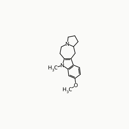 COc1ccc2c3c(n(C)c2c1)CCN1CCCC1C3